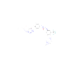 CC(=O)Nc1cc(Oc2ccc(NC(=O)Nc3ccc(CN4CCN(C)CC4)c(C(F)(F)F)c3)cc2)ncn1